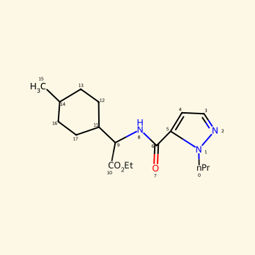 CCCn1nccc1C(=O)NC(C(=O)OCC)C1CCC(C)CC1